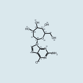 Nc1nc(Cl)c2ncn([C@H]3C[C@@H](O)C(O)[C@H](O)C(CO)O3)c2n1